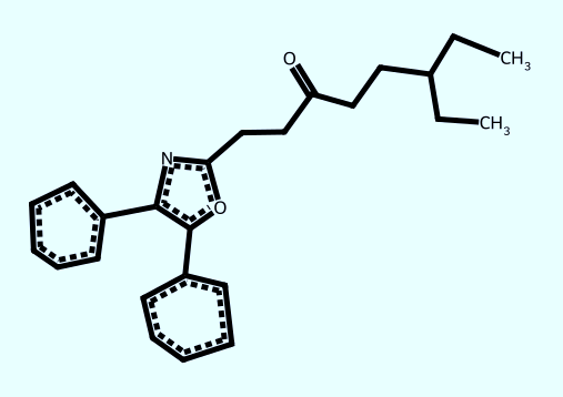 CCC(CC)CCC(=O)CCc1nc(-c2ccccc2)c(-c2ccccc2)o1